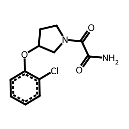 NC(=O)C(=O)N1CCC(Oc2ccccc2Cl)C1